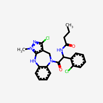 CCCC(=O)NC(C(=O)N1Cc2c(Cl)nn(C)c2Nc2ccccc21)c1ccccc1Cl